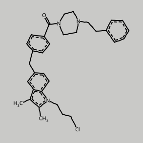 Cc1c(C)n(CCCCl)c2ccc(Cc3ccc(C(=O)N4CCN(CCc5ccccc5)CC4)cc3)cc12